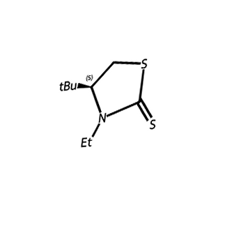 CCN1C(=S)SC[C@@H]1C(C)(C)C